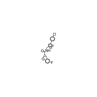 O=C(NCc1cc(-c2ccc(Cl)cc2)no1)C1C2Oc3ccc(F)cc3C21